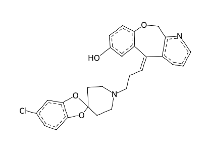 Oc1ccc2c(c1)C(=CCCN1CCC3(CC1)Oc1ccc(Cl)cc1O3)c1cccnc1CO2